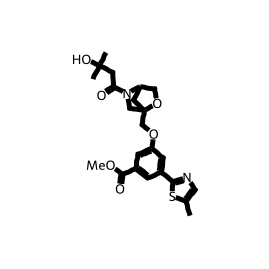 COC(=O)c1cc(OCC23CC(CO2)N(C(=O)CC(C)(C)O)C3)cc(-c2ncc(C)s2)c1